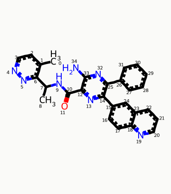 Cc1ccnnc1C(C)NC(=O)c1nc(-c2ccc3ncccc3c2)c(-c2ccccc2)nc1N